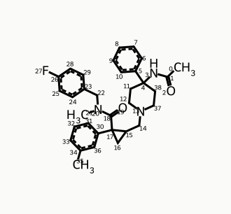 CC(=O)NC1(c2ccccc2)CCN(CC2CC2(C(=O)N(C)Cc2ccc(F)cc2)c2cccc(C)c2)CC1